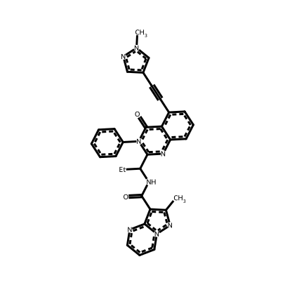 CCC(NC(=O)c1c(C)nn2cccnc12)c1nc2cccc(C#Cc3cnn(C)c3)c2c(=O)n1-c1ccccc1